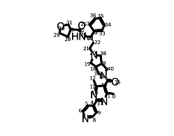 Cc1nc(-c2ccncc2)nc(C)c1C(=O)N1CC2CN(CC[C@H](NC(=O)C3CCOC3)c3ccccc3)CC2C1